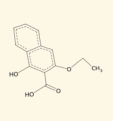 CCOc1cc2ccccc2c(O)c1C(=O)O